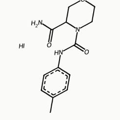 Cc1ccc(NC(=O)N2CCOCC2C(N)=O)cc1.I